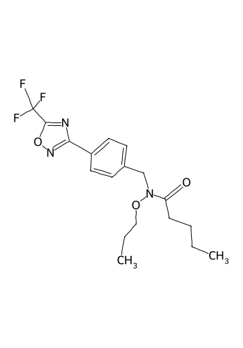 CCCCC(=O)N(Cc1ccc(-c2noc(C(F)(F)F)n2)cc1)OCCC